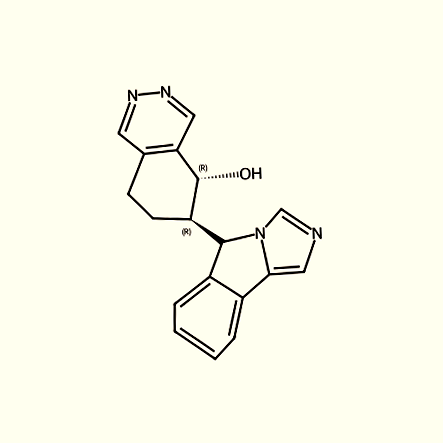 O[C@H]1c2cnncc2CC[C@@H]1C1c2ccccc2-c2cncn21